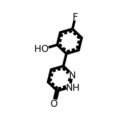 O=c1ccc(-c2ccc(F)cc2O)n[nH]1